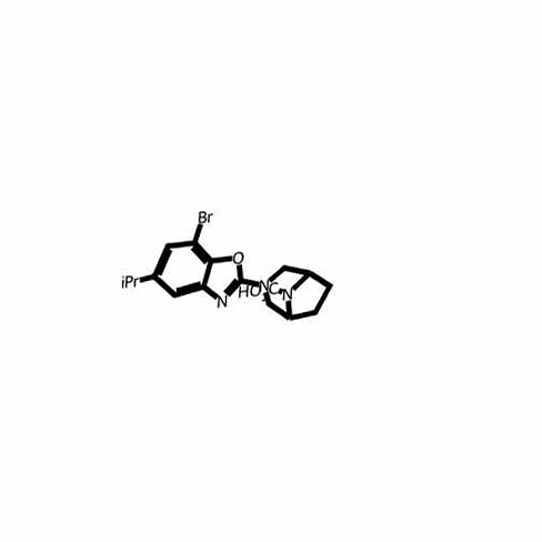 CC(C)c1cc(Br)c2oc(N3CC4CCC(C3)N4C(=O)O)nc2c1